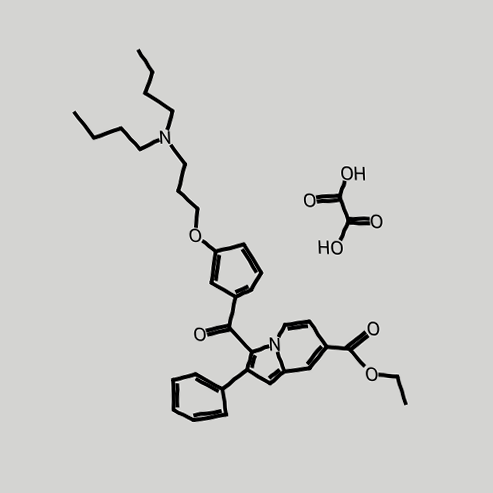 CCCCN(CCCC)CCCOc1cccc(C(=O)c2c(-c3ccccc3)cc3cc(C(=O)OCC)ccn23)c1.O=C(O)C(=O)O